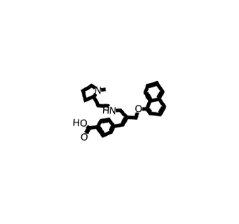 CN1CCCC1CCNC/C(=C\c1ccc(C(=O)O)cc1)COc1cccc2ccccc12